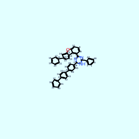 c1ccc(C2=NC(c3cccc4oc5cc(-c6ccccc6)ccc5c34)=NC(c3ccc(-c4ccc(-c5ccccc5)cc4)cc3)N2)cc1